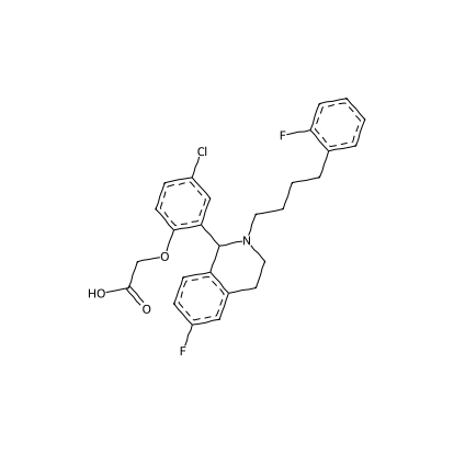 O=C(O)COc1ccc(Cl)cc1C1c2ccc(F)cc2CCN1CCCCc1ccccc1F